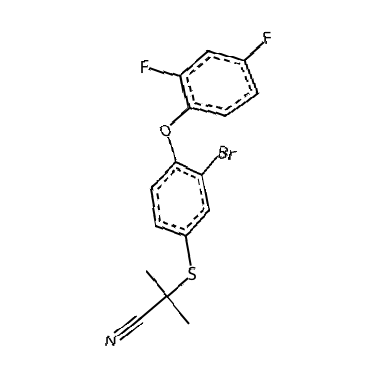 CC(C)(C#N)Sc1ccc(Oc2ccc(F)cc2F)c(Br)c1